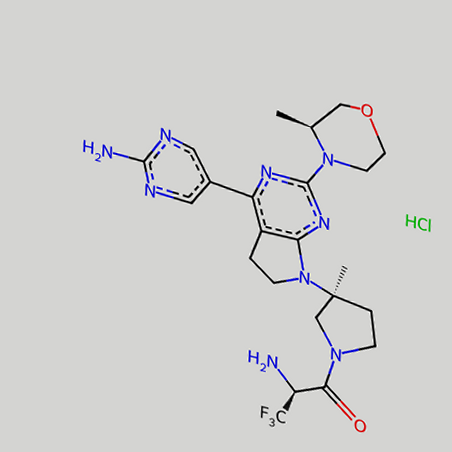 C[C@H]1COCCN1c1nc(-c2cnc(N)nc2)c2c(n1)N([C@@]1(C)CCN(C(=O)[C@H](N)C(F)(F)F)C1)CC2.Cl